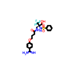 N=C(N)c1ccc(OCCCC(=O)NC[C@](NS(=O)(=O)c2ccccc2)(C(=O)O)C(F)(F)F)cc1